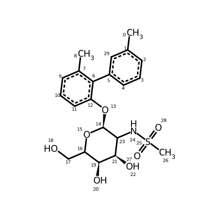 Cc1cccc(-c2c(C)cccc2O[C@@H]2OC(CO)[C@H](O)[C@H](O)C2NS(C)(=O)=O)c1